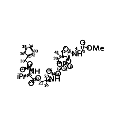 COC(=O)CCNC(=O)[C@@H]1O[P@@](=O)(OCOC(=O)NC(C)(C)COC(=O)[C@@H](NC(=O)OCc2ccccc2)C(C)C)OCC1(C)C